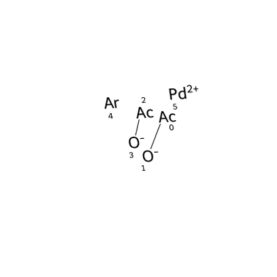 CC(=O)[O-].CC(=O)[O-].[Ar].[Pd+2]